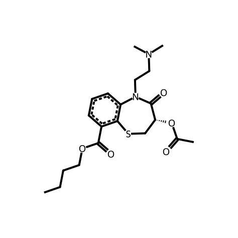 CCCCOC(=O)c1cccc2c1SC[C@@H](OC(C)=O)C(=O)N2CCN(C)C